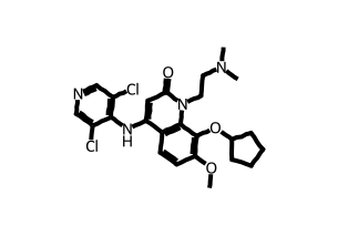 COc1ccc2c(Nc3c(Cl)cncc3Cl)cc(=O)n(CCN(C)C)c2c1OC1CCCC1